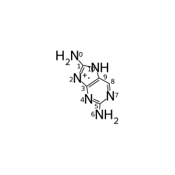 NC1=[N+]c2nc(N)ncc2N1